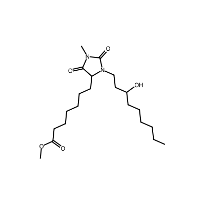 CCCCCCC(O)CCN1C(=O)N(C)C(=O)C1CCCCCCC(=O)OC